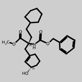 COC(=O)[C@@](CCC1CCCCC1)(CC1=C[C@@H](O)CCC1)NC(=O)OCc1ccccc1